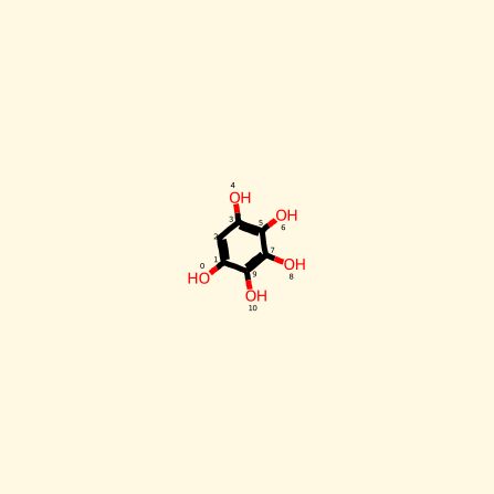 Oc1cc(O)c(O)c(O)c1O